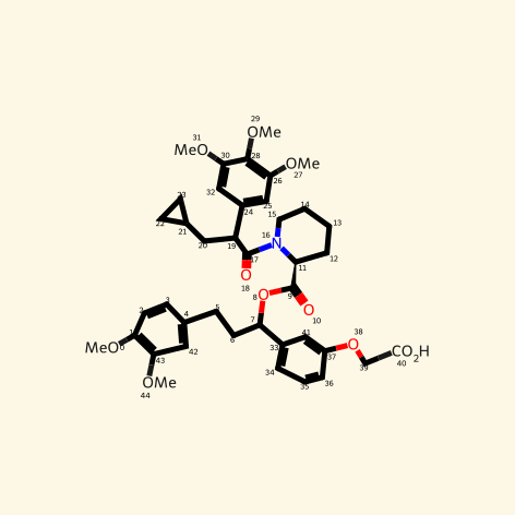 COc1ccc(CCC(OC(=O)[C@@H]2CCCCN2C(=O)C(CC2CC2)c2cc(OC)c(OC)c(OC)c2)c2cccc(OCC(=O)O)c2)cc1OC